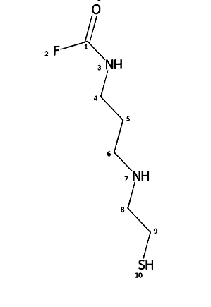 O=C(F)NCCCNCCS